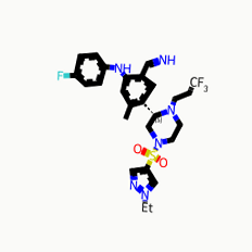 CCn1cc(S(=O)(=O)N2CCN(CCC(F)(F)F)[C@@H](c3cc(C=N)c(Nc4ccc(F)cc4)cc3C)C2)cn1